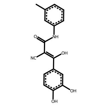 Cc1cccc(NC(=O)C(C#N)=C(O)c2ccc(O)c(O)c2)c1